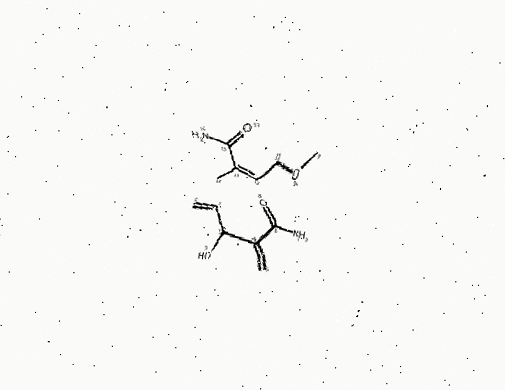 C=CC(O)C(=C)C(N)=O.COCC=C(C)C(N)=O